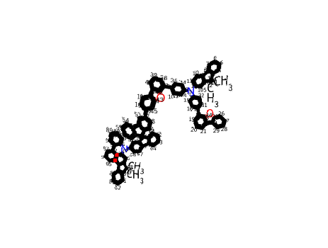 CC1(C)c2ccccc2-c2ccc(N(c3ccc(-c4cccc5c4oc4ccccc45)cc3)c3ccc(-c4cccc5c4oc4cc(-c6ccc7c(c6)-c6ccccc6C76c7ccccc7-c7ccc(N(c8ccc9c(c8)C(C)(C)c8ccccc8-9)c8ccccc8-c8ccccc8)cc76)ccc45)cc3)cc21